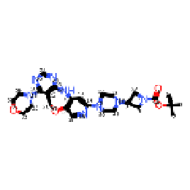 CC(C)(C)OC(=O)N1CC(N2CCN(c3cc4c(cn3)OCc3c(ncnc3N3CCOCC3)N4)CC2)C1